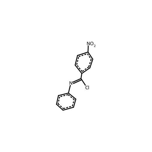 O=[N+]([O-])c1ccc(C(Cl)=Nc2ccccc2)cc1